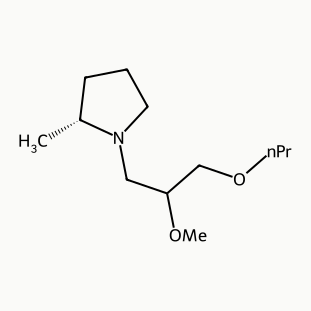 CCCOCC(CN1CCC[C@H]1C)OC